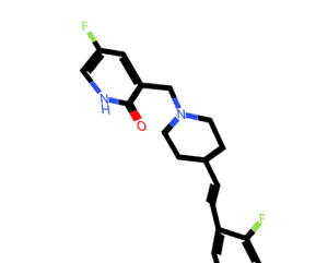 O=c1[nH]cc(F)cc1CN1CCC(C=Cc2ccccc2F)CC1